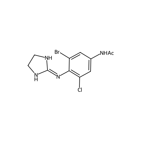 CC(=O)Nc1cc(Cl)c(N=C2NCCN2)c(Br)c1